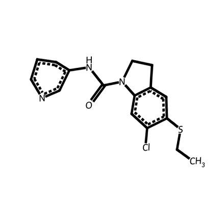 CCSc1cc2c(cc1Cl)N(C(=O)Nc1cccnc1)CC2